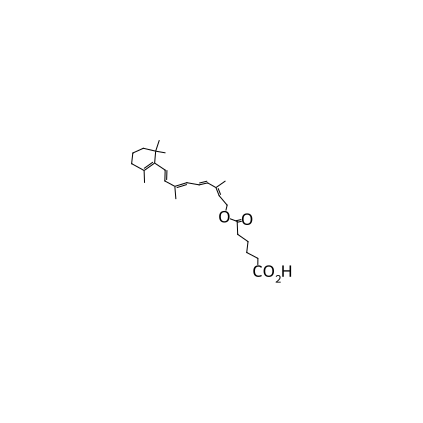 CC(C=CC1=C(C)CCCC1(C)C)=CC=CC(C)=CCOC(=O)CCCCC(=O)O